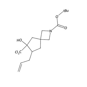 C=CCC1CC2(CN(C(=O)OC(C)(C)C)C2)CC1(O)C(Cl)(Cl)Cl